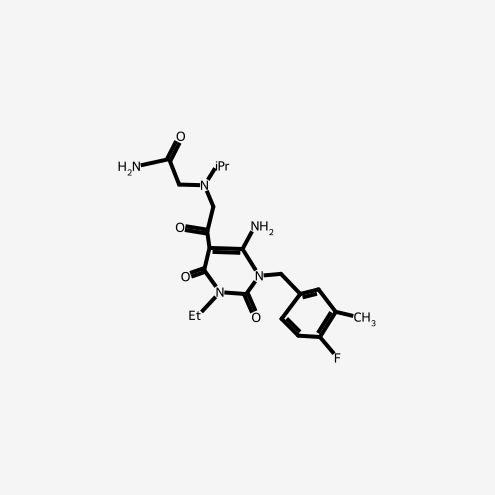 CCn1c(=O)c(C(=O)CN(CC(N)=O)C(C)C)c(N)n(Cc2ccc(F)c(C)c2)c1=O